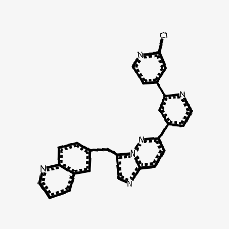 Clc1cc(-c2cc(-c3ccc4ncc(Cc5ccc6ncccc6c5)n4n3)ccn2)ccn1